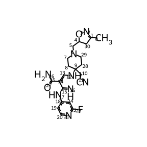 CC1=NOC(CN2CCC(CC#N)(N/C=C(\C(=N)Nc3ccnc(F)c3)C(N)=O)CC2)C1